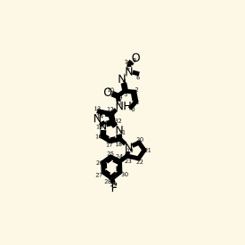 C/C=C\C(=N/N(C)C=O)C(=O)Nc1cnn2ccc(N3CCCC3c3cccc(F)c3)nc12